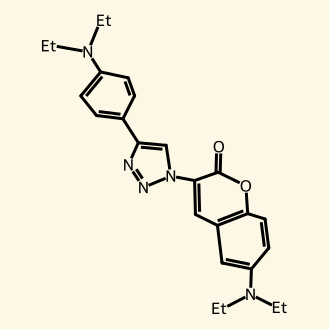 CCN(CC)c1ccc(-c2cn(-c3cc4cc(N(CC)CC)ccc4oc3=O)nn2)cc1